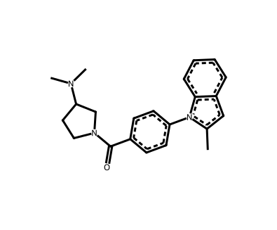 Cc1cc2ccccc2n1-c1ccc(C(=O)N2CCC(N(C)C)C2)cc1